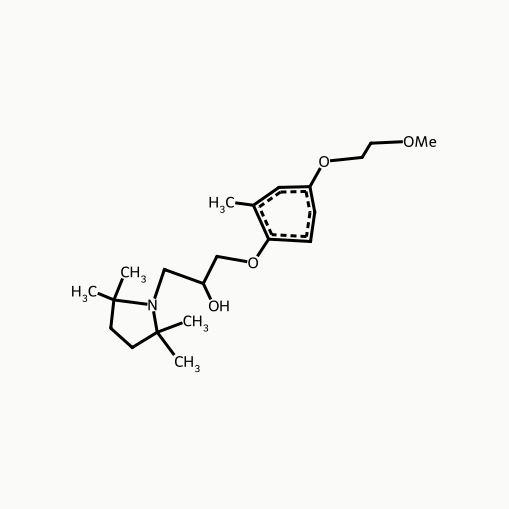 COCCOc1ccc(OCC(O)CN2C(C)(C)CCC2(C)C)c(C)c1